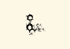 Cc1ccc(-c2ccccc2)cc1CN(C)C